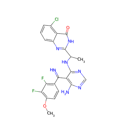 COc1ccc(C(=N)c2c(N)ncnc2NC(C)c2nc3cccc(Cl)c3c(=O)[nH]2)c(F)c1F